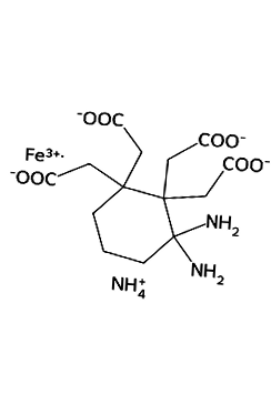 NC1(N)CCCC(CC(=O)[O-])(CC(=O)[O-])C1(CC(=O)[O-])CC(=O)[O-].[Fe+3].[NH4+]